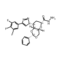 NNC(=O)[C@H]1C[C@@H](n2cc(-c3cc(F)c(F)c(F)c3)nn2)[C@H]2O[C@@H](c3ccccc3)OC[C@H]2O1